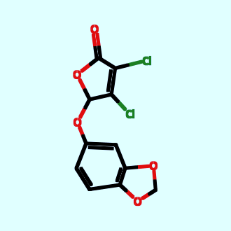 O=C1OC(Oc2ccc3c(c2)OCO3)C(Cl)=C1Cl